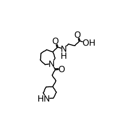 O=C(O)CCNC(=O)C1CCCCN(C(=O)CCC2CCNCC2)C1